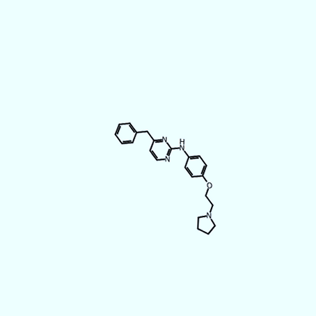 c1ccc(Cc2ccnc(Nc3ccc(OCCN4CCCC4)cc3)n2)cc1